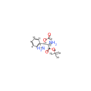 CC(=O)O[C@](N)(c1ccccc1)C(N)C(=O)OC(C)(C)C